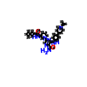 NC(=O)c1ncc(N2CCC[C@@H](NC(=O)C3CC4(CCC4)C3)C2)nc1Nc1ccc(C2CCN(C3CC3)CC2)cc1